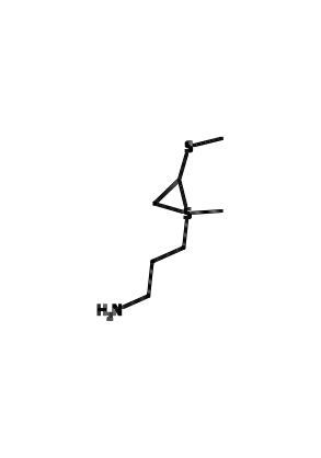 CSC1CS1(C)CCCN